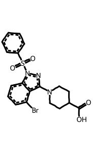 O=C(O)C1CCN(c2nn(S(=O)(=O)c3ccccc3)c3cccc(Br)c23)CC1